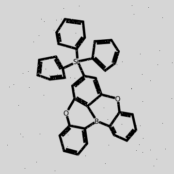 c1ccc([Si](c2ccccc2)(c2ccccc2)c2cc3c4c(c2)Oc2ccccc2B4c2ccccc2O3)cc1